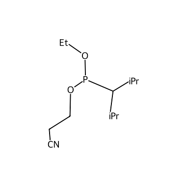 CCOP(OCCC#N)C(C(C)C)C(C)C